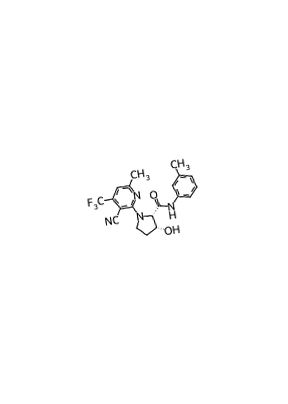 Cc1cccc(NC(=O)[C@@H]2[C@H](O)CCN2c2nc(C)cc(C(F)(F)F)c2C#N)c1